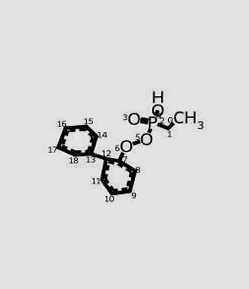 CCP(=O)(O)OOc1ccccc1-c1ccccc1